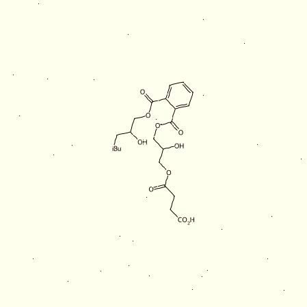 CCC(C)CC(O)COC(=O)c1ccccc1C(=O)OCC(O)COC(=O)CCC(=O)O